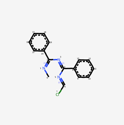 C\N=C(/N=C(\N=C\Cl)c1ccccc1)c1ccccc1